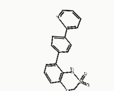 O=S1(=O)COc2cccc(-c3ccc(-c4ccccn4)cc3)c2N1